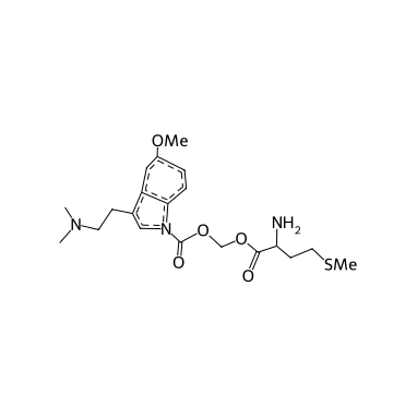 COc1ccc2c(c1)c(CCN(C)C)cn2C(=O)OCOC(=O)C(N)CCSC